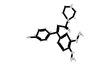 COc1ccc(/C(=C\C(=O)N2CCOCC2)c2ccc(F)cc2)cc1OC